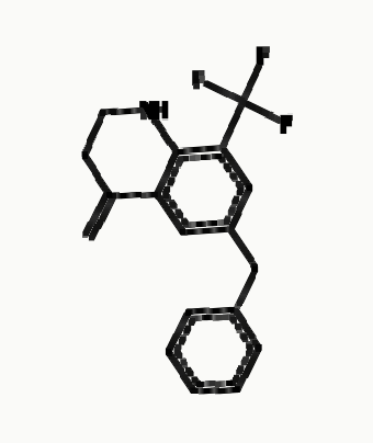 C=C1CCNc2c1cc(Cc1ccccc1)cc2C(F)(F)F